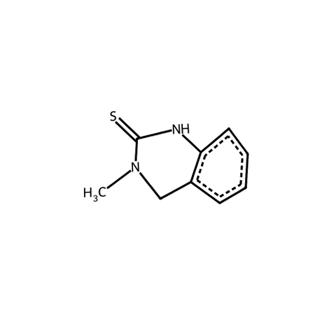 CN1Cc2ccccc2NC1=S